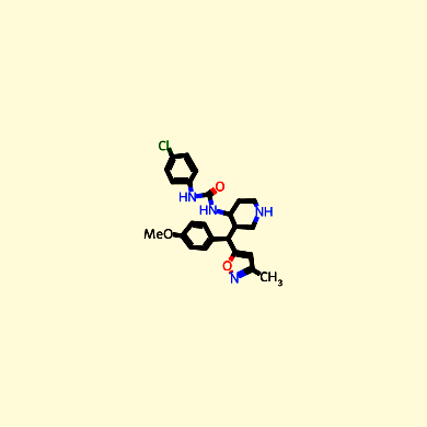 COc1ccc(C(c2cc(C)no2)C2CNCCC2NC(=O)Nc2ccc(Cl)cc2)cc1